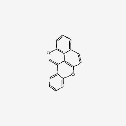 O=c1c2ccccc2oc2ccc3cccc(Cl)c3c12